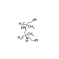 CC(C)CCNC(C)(C)CCNC(C)(C)CCC(C)C